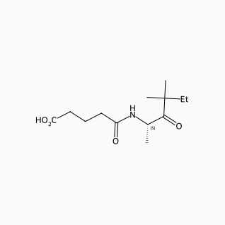 CCC(C)(C)C(=O)[C@H](C)NC(=O)CCCC(=O)O